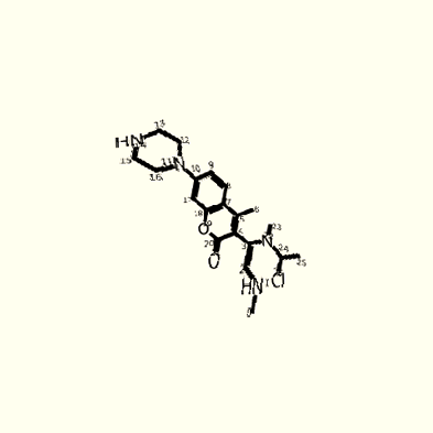 CN/C=C(/c1c(C)c2ccc(N3CCNCC3)cc2oc1=O)N(C)C(C)Cl